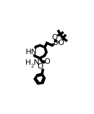 CC1(C)OB(CCC2CCNC[C@@](N)(C(=O)OCc3ccccc3)CC2)OC1(C)C